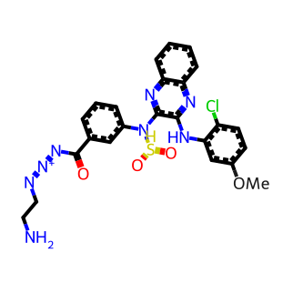 COc1ccc(Cl)c(Nc2nc3ccccc3nc2N(c2cccc(C(=O)N=[N+]=NCCN)c2)[SH](=O)=O)c1